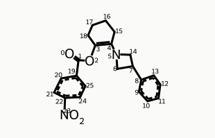 O=C(OC1=C(N2CC(c3ccccc3)C2)CCCC1)c1ccc([N+](=O)[O-])cc1